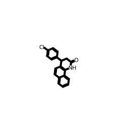 O=C1CC(c2ccc(Cl)cc2)c2ccc3ccccc3c2N1